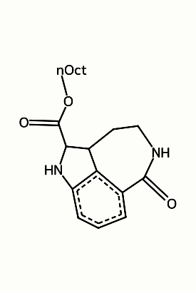 CCCCCCCCOC(=O)C1Nc2cccc3c2C1CCNC3=O